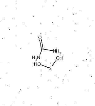 NC(N)=O.OSO